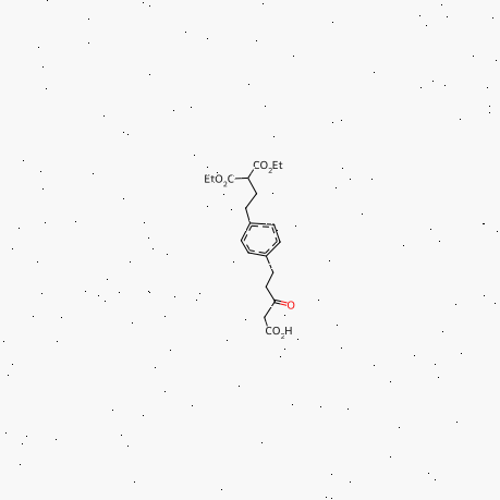 CCOC(=O)C(CCc1ccc(CCC(=O)CC(=O)O)cc1)C(=O)OCC